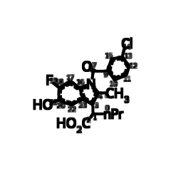 CCCC(C(=O)O)c1c(C)n(C(=O)c2cccc(Cl)c2)c2cc(F)c(O)cc12